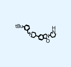 CC(C)(C)c1cccc(CN2CCC(c3ccc4c(c3)CN(C3CCCNC3)C4=O)CC2)c1